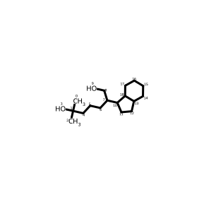 CC(C)(O)CCCC(CO)C1CCC2CCCCC21